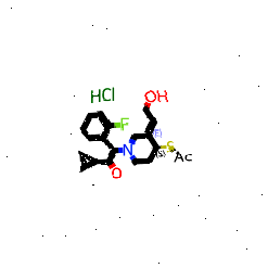 CC(=O)S[C@H]1CCN(C(C(=O)C2CC2)c2ccccc2F)C/C1=C\CO.Cl